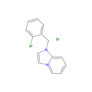 Brc1ccccc1Cn1cc[n+]2ccccc12.[Br-]